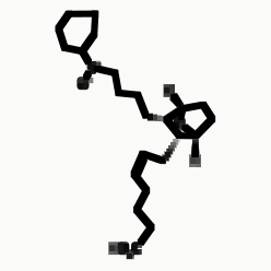 O=C(O)CCC/C=C\C[C@@H]1[C@H](CCCC[S+]([O-])C2CCCCC2)[C@@H]2CC[C@H]1O2